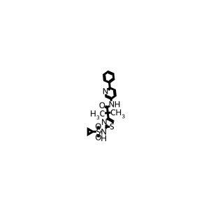 CC(C)(C(=O)Nc1ccc(-c2ccccc2)nc1)c1csc(NS(=O)(=O)C2CC2)n1